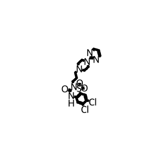 O=C1Nc2cc(Cl)c(Cl)cc2S(=O)(=O)N1CCCN1CCN(c2ncccn2)CC1